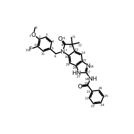 COc1ccc(CN2C(=O)C(C)(C)c3cc4nc(NC(=O)c5ccccc5)[nH]c4cc32)cc1F